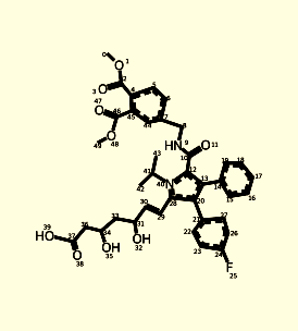 COC(=O)c1ccc(CNC(=O)c2c(-c3ccccc3)c(-c3ccc(F)cc3)c(C=CC(O)CC(O)CC(=O)O)n2C(C)C)cc1C(=O)OC